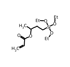 C=CC(=O)OC(C)CC[Si](OCC)(OCC)OCC